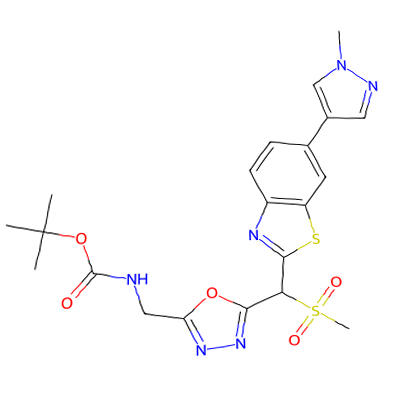 Cn1cc(-c2ccc3nc(C(c4nnc(CNC(=O)OC(C)(C)C)o4)S(C)(=O)=O)sc3c2)cn1